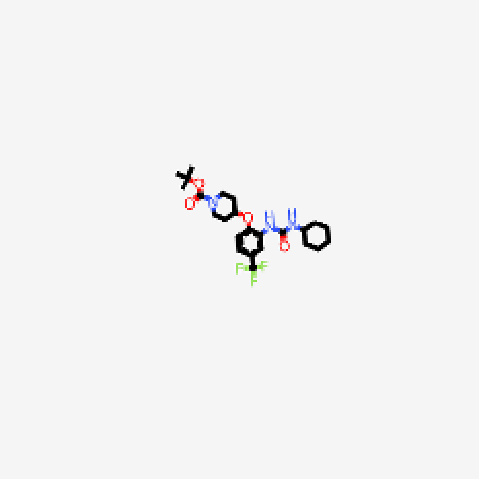 CC(C)(C)OC(=O)N1CCC(Oc2ccc(C(F)(F)F)cc2NC(=O)NC2CCCCC2)CC1